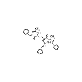 C[C@@H](OCc1ccccc1)[C@H](NC(=O)OCc1ccccc1)C(=O)OCC[C@H](NC(=O)C(F)(F)F)C(=O)OCc1ccccc1